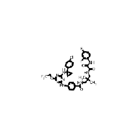 CC(C)(CNC(=O)C(=O)Nc1ccc(F)cc1F)CNC(=O)c1ccc(Nc2nc(NC3(c4ccc(Cl)cc4)CC3)nc(OCC(F)(F)F)n2)cc1